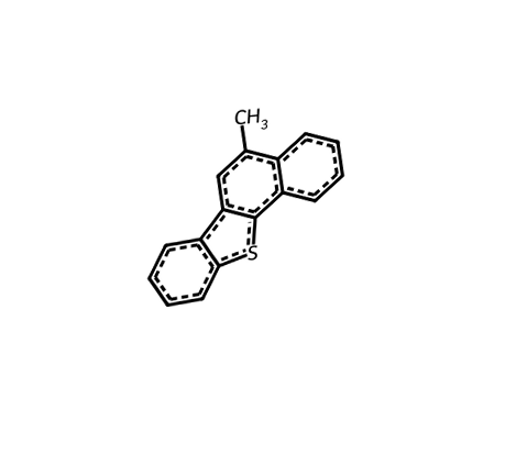 Cc1cc2c3ccccc3sc2c2ccccc12